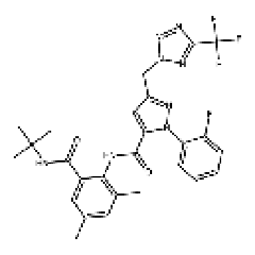 Cc1cc(C)c(NC(=O)c2cc(Cn3nnc(C(F)(F)F)n3)nn2-c2ccccc2F)c(C(=O)NC(C)(C)C)c1